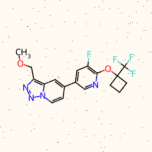 COCc1nnn2ccc(-c3cnc(OC4(C(F)(F)F)CCC4)c(F)c3)cc12